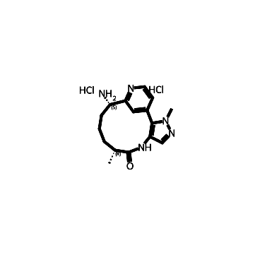 C[C@@H]1CCC[C@H](N)c2cc(ccn2)-c2c(cnn2C)NC1=O.Cl.Cl